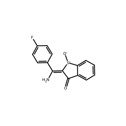 NC(=C1C(=O)c2ccccc2[S+]1[O-])c1ccc(F)cc1